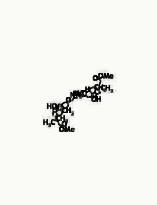 COC(=O)CC[C@@H](C)[C@H]1CC[C@@H]2C3[C@@H](CC[C@@]21C)[C@@]1(C)CC[C@H](n2cc(CO[C@@H]4CC[C@]5(C)C(C4)C[C@@H](O)C4[C@H]5CC[C@]5(C)[C@H]4CC[C@H]5[C@@H](C)CCC(=O)OC)nn2)CC1C[C@@H]3O